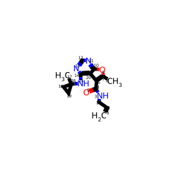 C=CCNC(=O)c1c(C)oc2ncnc(NC3(C)CC3)c12